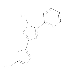 Cc1ccc(-c2cn(C)c(-c3ccccc3)n2)s1